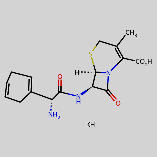 CC1=C(C(=O)O)N2C(=O)[C@@H](NC(=O)[C@H](N)C3=CCC=CC3)[C@H]2SC1.[KH]